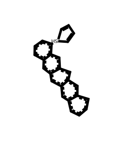 C1=C[SiH](c2cccc3cc4cc5cc6ccccc6cc5cc4cc23)C=C1